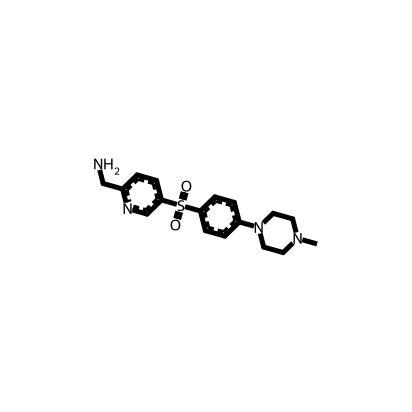 CN1CCN(c2ccc(S(=O)(=O)c3ccc(CN)nc3)cc2)CC1